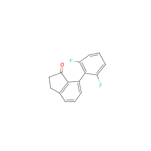 O=C1CCc2cccc(-c3c(F)cccc3F)c21